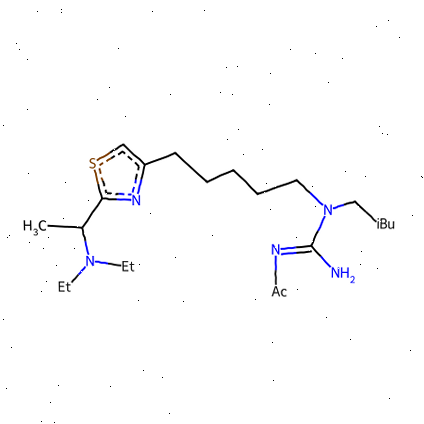 CCC(C)CN(CCCCCc1csc(C(C)N(CC)CC)n1)C(N)=NC(C)=O